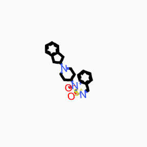 [O-][S+]1N=Cc2ccccc2[N+]1([O-])C1CCN(C2Cc3ccccc3C2)CC1